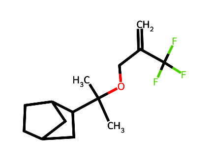 C=C(COC(C)(C)C1CC2CCC1C2)C(F)(F)F